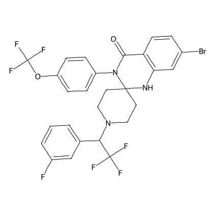 O=C1c2ccc(Br)cc2NC2(CCN(C(c3cccc(F)c3)C(F)(F)F)CC2)N1c1ccc(OC(F)(F)F)cc1